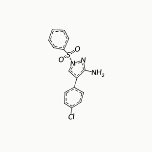 Nc1nn(S(=O)(=O)c2ccccc2)cc1-c1ccc(Cl)cc1